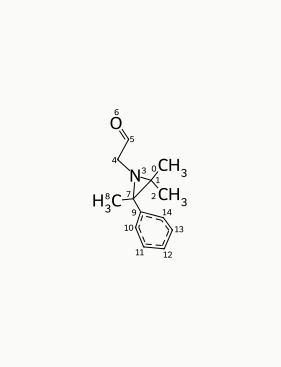 CC1(C)N(CC=O)C1(C)c1ccccc1